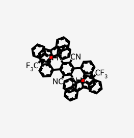 N#Cc1c(-c2cccc3c4ccccc4n(-c4ccccc4)c23)c(-n2c3ccccc3c3ccc(C(F)(F)F)cc32)c(C#N)c(-c2cccc3c4ccccc4n(-c4ccccc4)c23)c1-n1c2ccccc2c2ccc(C(F)(F)F)cc21